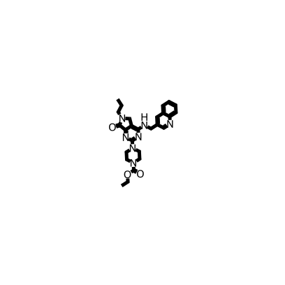 CCCN1Cc2c(NCc3cnc4ccccc4c3)nc(N3CCN(C(=O)OCC)CC3)nc2C1=O